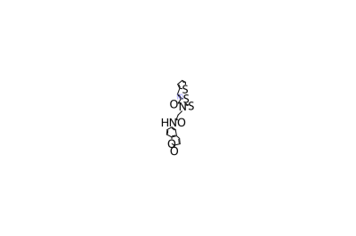 O=C(CCN1C(=O)/C(=C/c2cccs2)SC1=S)Nc1ccc2oc(=O)ccc2c1